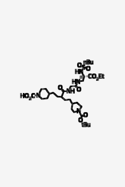 CCCCS(=O)(=O)N[C@@H](CNC(=O)CNC(=O)C(CCC1CCN(C(=O)O)CC1)CCC1CCN(C(=O)OC(C)(C)C)CC1)C(=O)OCC